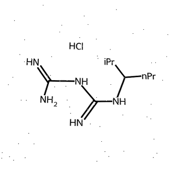 CCCC(NC(=N)NC(=N)N)C(C)C.Cl